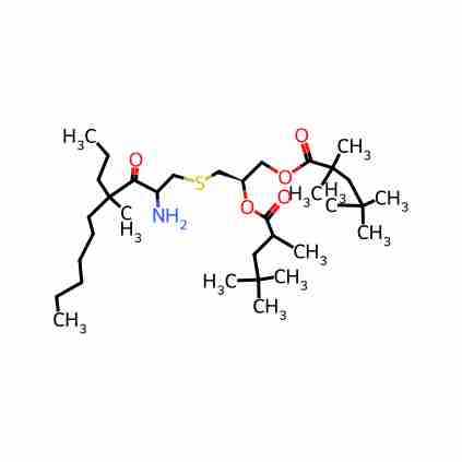 CCCCCCC(C)(CCC)C(=O)C(N)CSC[C@@H](COC(=O)C(C)(C)CC(C)(C)C)OC(=O)C(C)CC(C)(C)C